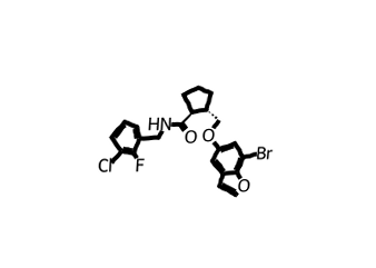 O=C(NCc1cccc(Cl)c1F)[C@H]1CCC[C@@H]1COc1cc(Br)c2occc2c1